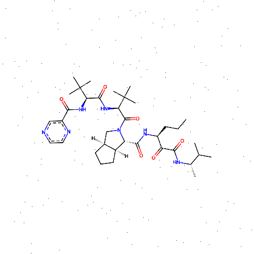 CCC[C@H](NC(=O)[C@@H]1[C@H]2CCC[C@H]2CN1C(=O)[C@@H](NC(=O)[C@@H](NC(=O)c1cnccn1)C(C)(C)C)C(C)(C)C)C(=O)C(=O)N[C@@H](C)C(C)C